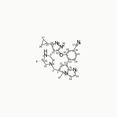 Cc1c(CN2CCN[C@@H](C)C2)cc(-c2ccc(C#N)cc2Oc2cc(C3CC3)nn2C)c2nccn12